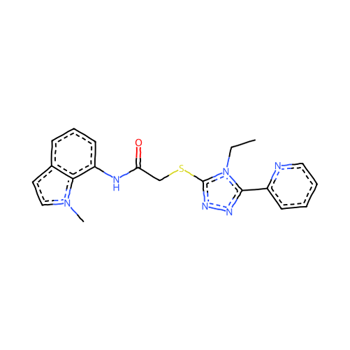 CCn1c(SCC(=O)Nc2cccc3ccn(C)c23)nnc1-c1ccccn1